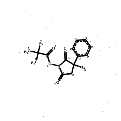 CCC(C)(C)C(=O)ON1C(=O)CC(CC)(c2ccccc2)C1=O